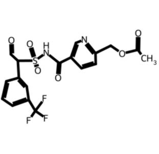 CC(=O)OCc1ccc(C(=O)NS(=O)(=O)C(C=O)c2cccc(C(F)(F)F)c2)cn1